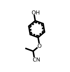 CC(C#N)Oc1ccc(O)cc1